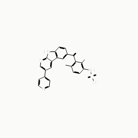 CCCS(=O)(=O)Nc1ccc(C)c(C(=O)c2ccc3[nH]c4ncc(-c5ccncc5)cc4c3c2)c1F